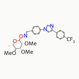 CO[C@@H]1[C@@H](OC)[C@H](C)O[C@@H](O/N=C/c2ccc(-n3cnc(-c4ccc(C(F)(F)F)cc4)c3)cc2)[C@@H]1OC